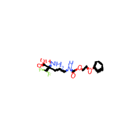 NC(CCCNC(=O)OCCOc1ccccc1)(C(=O)O)C(F)F